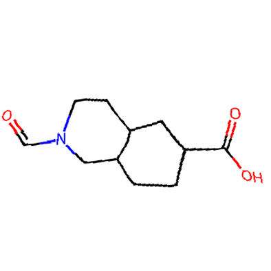 O=CN1CCC2CC(C(=O)O)CCC2C1